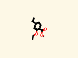 C=[C]c1ccc(C(=O)OC)c(OCC)c1